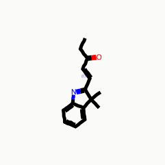 CCC(=O)/C=C/C1=Nc2ccccc2C1(C)C